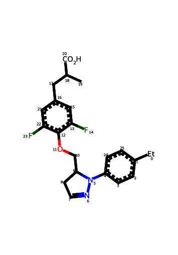 CCc1ccc(N2N=CCC2COc2c(F)cc(CC(C)C(=O)O)cc2F)cc1